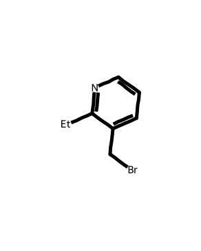 CCc1ncccc1CBr